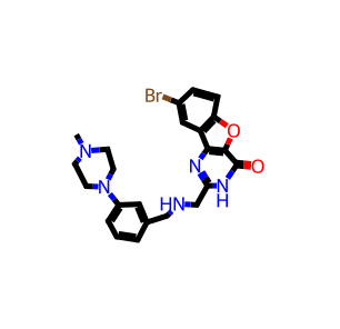 CN1CCN(c2cccc(CNCc3nc4c(oc5ccc(Br)cc54)c(=O)[nH]3)c2)CC1